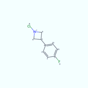 Fc1ccc(C2CN(Cl)C2)cc1